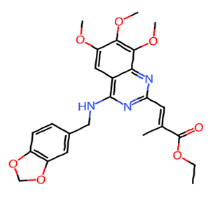 CCOC(=O)/C(C)=C/c1nc(NCc2ccc3c(c2)OCO3)c2cc(OC)c(OC)c(OC)c2n1